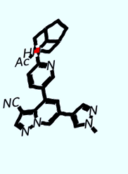 CC(=O)N1CC2CCC(C1)C2Nc1ccc(-c2cc(-c3cnn(C)c3)cn3ncc(C#N)c23)cn1